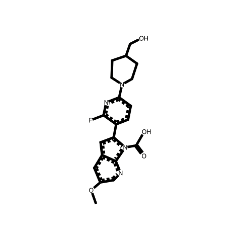 COc1cnc2c(c1)cc(-c1ccc(N3CCC(CO)CC3)nc1F)n2C(=O)O